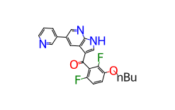 CCCCOc1ccc(F)c(C(=O)c2c[nH]c3ncc(-c4cccnc4)cc23)c1F